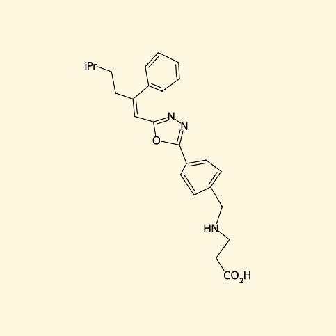 CC(C)CCC(=Cc1nnc(-c2ccc(CNCCC(=O)O)cc2)o1)c1ccccc1